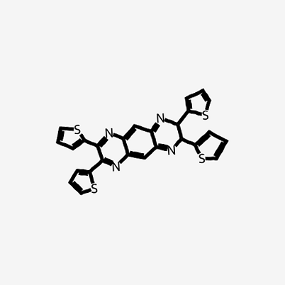 c1csc(-c2nc3cc4c(cc3nc2-c2cccs2)=NC(c2cccs2)C(c2cccs2)N=4)c1